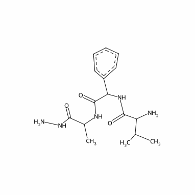 CC(NC(=O)C(NC(=O)C(N)C(C)C)c1ccccc1)C(=O)NN